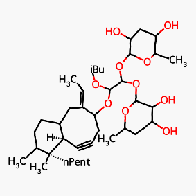 C/C=C1\CC2CCC(C)[C@@](C)(CCCCC)[C@@H]2C#CCC1OC(OC(C)CC)C(OC1OC(C)C(O)CC1O)OC1OC(C)CC(O)C1O